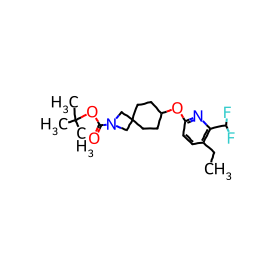 CCc1ccc(OC2CCC3(CC2)CN(C(=O)OC(C)(C)C)C3)nc1C(F)F